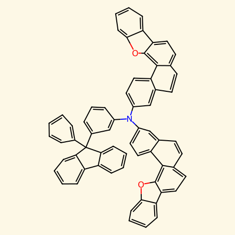 c1ccc(C2(c3cccc(N(c4ccc5c(ccc6ccc7c8ccccc8oc7c65)c4)c4ccc5c(ccc6ccc7c8ccccc8oc7c65)c4)c3)c3ccccc3-c3ccccc32)cc1